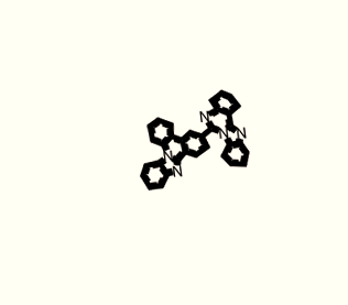 c1ccc2c(c1)nc(-c1ccc3c(c1)c1ccccc1n1c4ccccc4nc31)n1c3ccccc3nc21